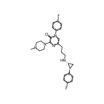 CN1CCN(c2nc(CCCN[C@@H]3C[C@H]3c3ccc(F)cc3)cn(-c3ccc(F)cc3)c2=O)CC1